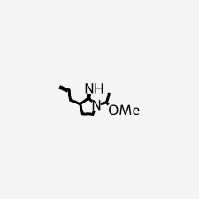 C=CCC1CCN(C(C)OC)C1=N